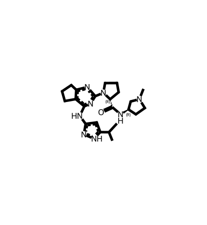 CC(C)c1cc(Nc2nc(N3CCC[C@@H]3C(=O)N[C@@H]3CCN(C)C3)nc3c2CCC3)n[nH]1